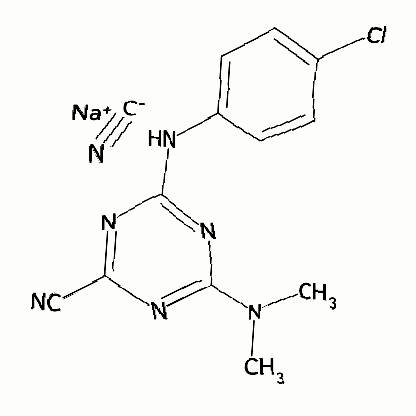 CN(C)c1nc(C#N)nc(Nc2ccc(Cl)cc2)n1.[C-]#N.[Na+]